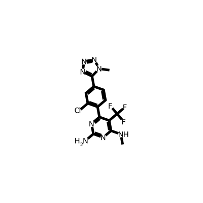 CNc1nc(N)nc(-c2ccc(-c3nnnn3C)cc2Cl)c1C(F)(F)F